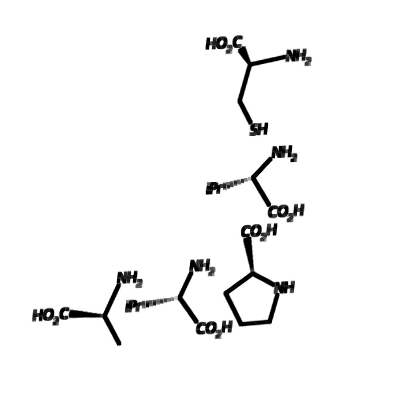 CC(C)[C@H](N)C(=O)O.CC(C)[C@H](N)C(=O)O.C[C@H](N)C(=O)O.N[C@@H](CS)C(=O)O.O=C(O)[C@@H]1CCCN1